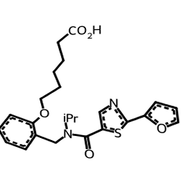 CC(C)N(Cc1ccccc1OCCCCCC(=O)O)C(=O)c1cnc(-c2ccco2)s1